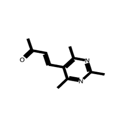 CC(=O)/C=C/c1c(C)nc(C)nc1C